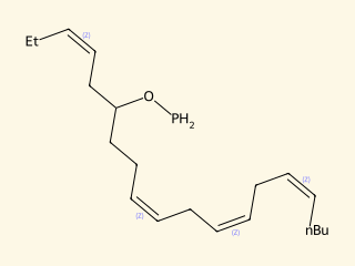 CC/C=C\CC(CC/C=C\C/C=C\C/C=C\CCCC)OP